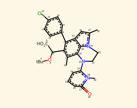 Cc1c(C(OC(C)(C)C)C(=O)O)c(-c2ccc(Cl)cc2)c2cc(C)n3c2c1N(c1cccc(=O)n1C)CC3